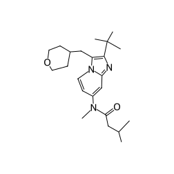 CC(C)CC(=O)N(C)c1ccn2c(CC3CCOCC3)c(C(C)(C)C)nc2c1